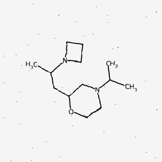 CC(C)N1CCOC(CC(C)N2CCC2)C1